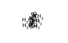 Cc1nc(N[C@H](C)c2cccc(C(F)(F)C(C)(C)O)c2F)c2cc3c(cc2n1)C1(CCCCC1)C(=O)N3C